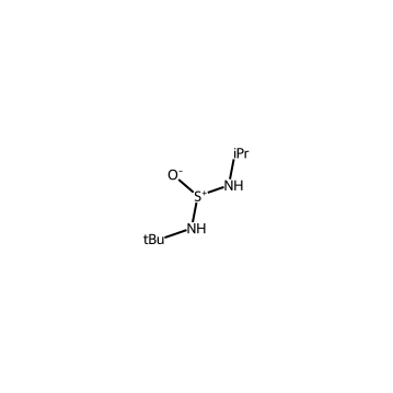 CC(C)N[S+]([O-])NC(C)(C)C